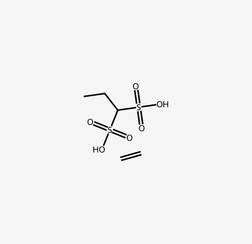 C=C.CCC(S(=O)(=O)O)S(=O)(=O)O